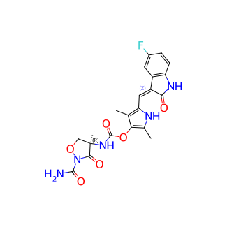 Cc1[nH]c(/C=C2\C(=O)Nc3ccc(F)cc32)c(C)c1OC(=O)N[C@]1(C)CON(C(N)=O)C1=O